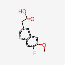 COc1cc2cc(CC(=O)O)ccc2cc1F